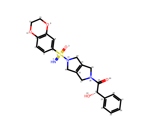 N=S(=O)(c1ccc2c(c1)OCCO2)N1CC2=C(CN(C(=O)[C@@H](O)c3ccccc3)C2)C1